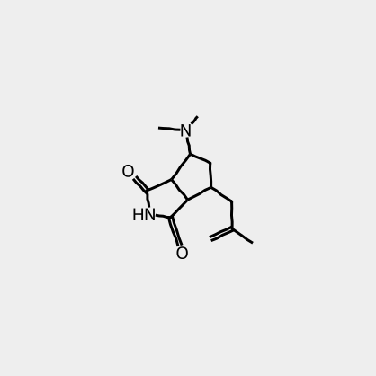 C=C(C)CC1CC(N(C)C)C2C(=O)NC(=O)C12